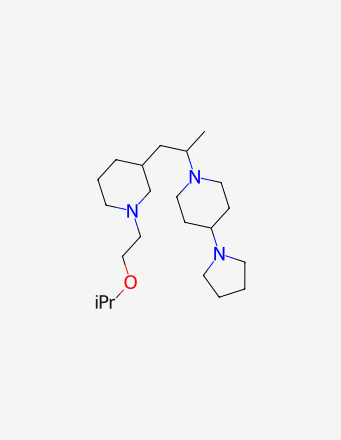 CC(C)OCCN1CCCC(CC(C)N2CCC(N3CCCC3)CC2)C1